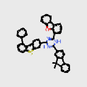 CC1(C)c2ccccc2-c2ccc(C3NC(c4cccc5c4oc4ccccc45)=NC(c4ccc5c(c4)sc4cccc(-c6ccccc6)c45)N3)cc21